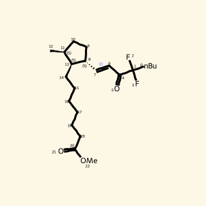 CCCCC(F)(F)C(=O)/C=C/[C@H]1CC[C@H](C)[C@@H]1CCCCCCC(=O)OC